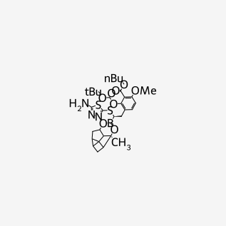 CCCCOC(=O)c1c(OC)ccc(C[C@H](Sc2nnc(N)s2)B2OC3CC4C5CC6C45C3[C@@]6(C)O2)c1OC(=O)OC(C)(C)C